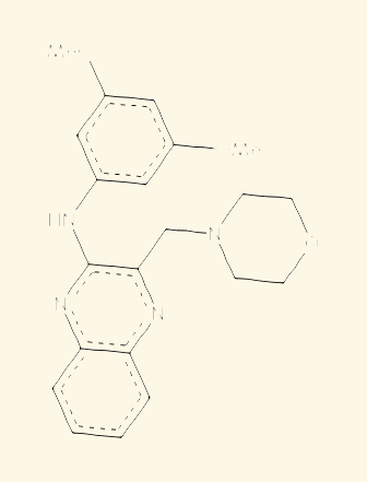 COc1cc(Nc2nc3ccccc3nc2CN2CCOCC2)cc(OC)c1